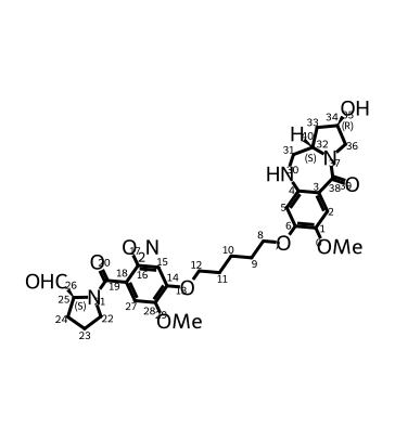 COc1cc2c(cc1OCCCCCOc1cc([N+](=O)[O-])c(C(=O)N3CCC[C@H]3C=O)cc1OC)NC[C@@H]1C[C@@H](O)CN1C2=O